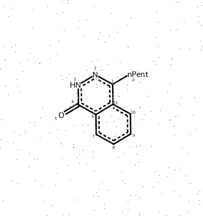 CCCCCc1n[nH]c(=O)c2ccccc12